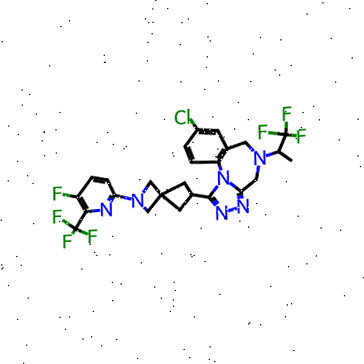 CC(N1Cc2cc(Cl)ccc2-n2c(nnc2C2CC3(C2)CN(c2ccc(F)c(C(F)(F)F)n2)C3)C1)C(F)(F)F